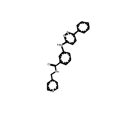 O=C(NCc1ccncc1)c1cccc(Nc2ccc(-c3ccccc3)nn2)c1